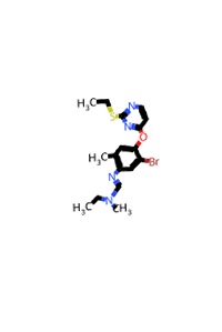 CCSc1nccc(Oc2cc(C)c(/N=C/N(C)CC)cc2Br)n1